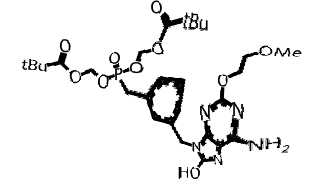 COCCOc1nc(N)c2nc(O)n(Cc3cccc(CP(=O)(OCOC(=O)C(C)(C)C)OCOC(=O)C(C)(C)C)c3)c2n1